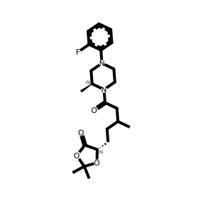 CC(CC[C@@H]1OC(C)(C)OC1=O)CC(=O)N1CCN(c2ccccc2F)C[C@@H]1C